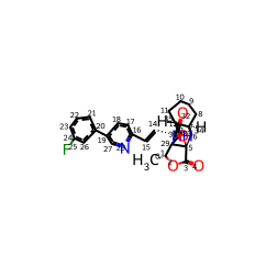 C[C@H]1OC(=O)[C@]23C[C@@H]4CCCC[C@H]4[C@H](/C=C/c4ccc(-c5cccc(F)c5)cn4)[C@]12NC(=O)O3